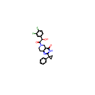 O=C(C(O)c1ccc(F)c(F)c1)N1CCc2nc(C3(c4ccccc4)CC3)[nH]c(=O)c2C1